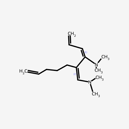 C=C/C=C(\C(=C/N(C)C)CCCC=C)N(C)C